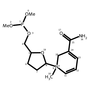 COP(OC)OCC1CCC([N+]2(C)C=CC=C(C(N)=O)C2)O1